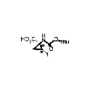 CC(C)(C)OC(=O)N[C@]1(C(=O)O)C[C@H]1I